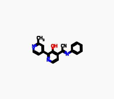 Cc1cc(-c2nccc(/C(C#N)=N/c3ccccc3)c2O)ccn1